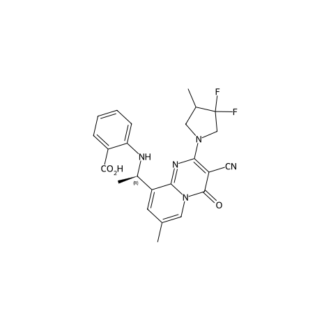 Cc1cc([C@@H](C)Nc2ccccc2C(=O)O)c2nc(N3CC(C)C(F)(F)C3)c(C#N)c(=O)n2c1